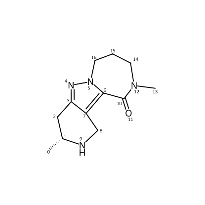 C[C@@H]1Cc2nn3c(c2CN1)C(=O)N(C)CCC3